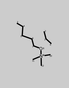 CCC.CCCCCO[N+](C)(C)C